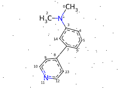 CN(C)c1cc[c]c(-c2ccncc2)c1